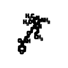 CCCc1nc2c(N)nc(C)c(C)c2n1CCOCCNC(=O)N1CCOCC1